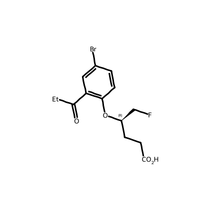 CCC(=O)c1cc(Br)ccc1O[C@@H](CF)CCC(=O)O